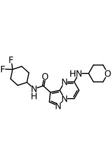 O=C(NC1CCC(F)(F)CC1)c1cnn2ccc(NC3CCOCC3)nc12